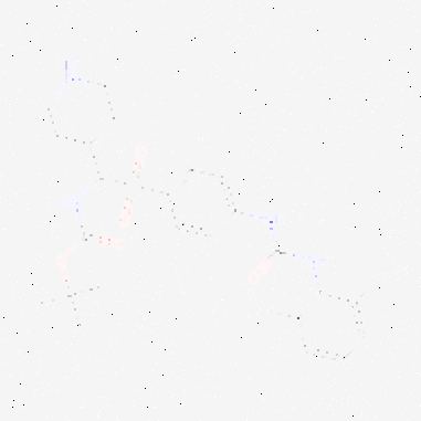 CC(C)(C)OC(=O)NC(C1CCNCC1)S(=O)(=O)c1ccc(NC(=O)Nc2c(F)cccc2F)cc1